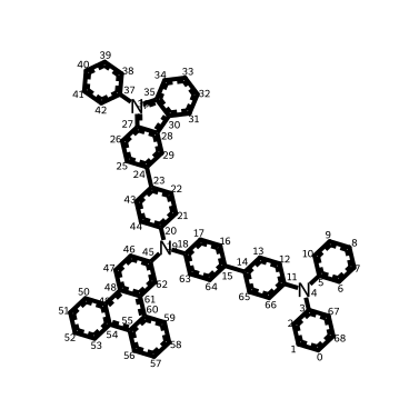 c1ccc(N(c2ccccc2)c2ccc(-c3ccc(N(c4ccc(-c5ccc6c(c5)c5ccccc5n6-c5ccccc5)cc4)c4ccc5c6ccccc6c6ccccc6c5c4)cc3)cc2)cc1